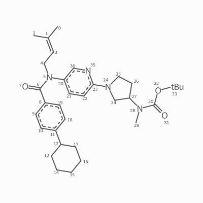 CC(C)=CCN(C(=O)c1ccc(C2CCCCC2)cc1)c1ccc(N2CCC(N(C)C(=O)OC(C)(C)C)C2)nc1